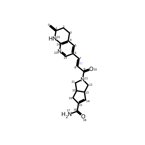 C=C1CCc2cc(/C=C/C(=O)N3CC4C=C(C(N)=O)CC4C3)cnc2N1